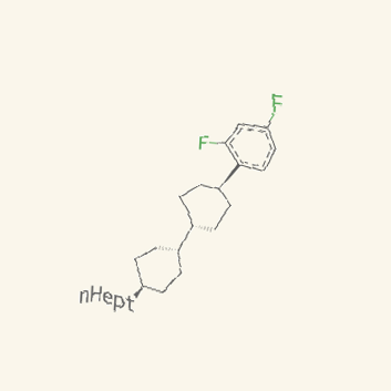 CCCCCCC[C@H]1CC[C@H]([C@H]2CC[C@H](c3ccc(F)cc3F)CC2)CC1